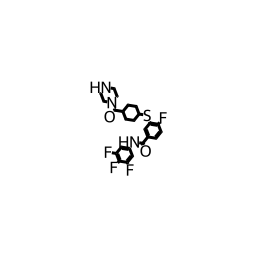 O=C(Nc1cc(F)c(F)c(F)c1)c1ccc(F)c(SC2CCC(C(=O)N3CCNCC3)CC2)c1